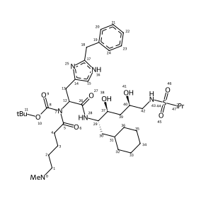 CNCCCCC(=O)N(C(=O)OC(C)(C)C)C(Cc1c[nH]c(Cc2ccccc2)n1)C(=O)N[C@@H](CC1CCCCC1)[C@@H](O)C[C@@H](O)CNS(=O)(=O)C(C)C